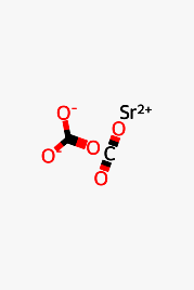 O=C([O-])[O-].O=C=O.[Sr+2]